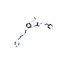 CCCNc1nc(NCCc2ccncc2)ncc1C(=O)Nc1cccc(NC(=O)CNC(=O)/C=C/CN2CCN(C)CC2)c1